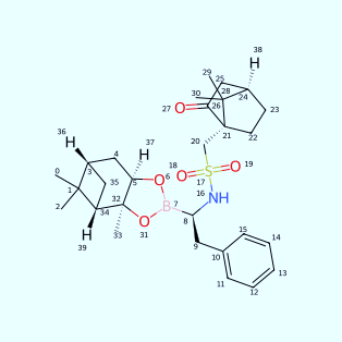 CC1(C)[C@@H]2C[C@H]3OB([C@H](Cc4ccccc4)NS(=O)(=O)C[C@]45CC[C@H](CC4=O)C5(C)C)O[C@@]3(C)[C@H]1C2